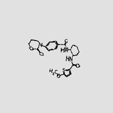 COc1ccc(C(=O)NC2CCCCC2NC(=O)c2ccc(N3CCCOC3=O)cc2)s1